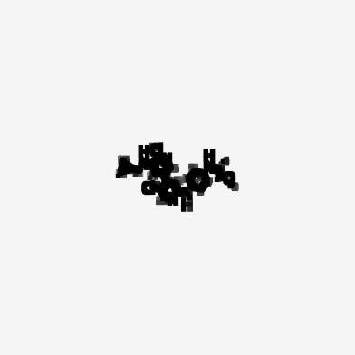 COC[C@@H](C)N[C@H]1CC[C@H](Nc2cc(-c3cnc(Cl)c(NCC4CC4)c3)c(Cl)cn2)CC1